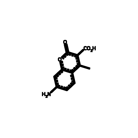 Cc1c(C(=O)O)c(=O)oc2cc(N)ccc12